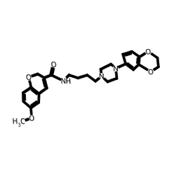 COc1ccc2c(c1)C=C(C(=O)NCCCCN1CCN(c3ccc4c(c3)OCCO4)CC1)CO2